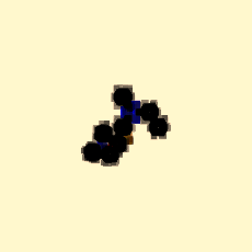 c1ccc(-c2cccc(-c3nc(-c4ccccc4)nc(-c4ccc5c(c4)sc4cccc(-c6ccccc6-n6c7ccccc7c7ccccc76)c45)n3)c2)cc1